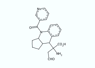 NC(CC=O)(C(=O)O)C1c2ccccc2N(C(=O)c2cccnc2)C2CCCC21